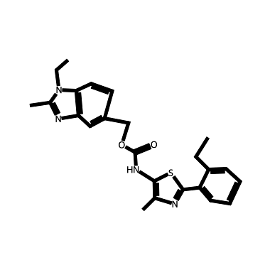 CCc1ccccc1-c1nc(C)c(NC(=O)OCc2ccc3c(c2)nc(C)n3CC)s1